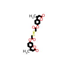 Cc1cc(=O)oc2cc(OC(=O)CSSCC(=O)Oc3ccc4c(C)cc(=O)oc4c3)ccc12